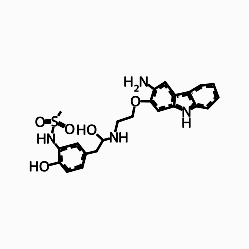 CS(=O)(=O)Nc1cc(CC(O)NCCOc2cc3[nH]c4ccccc4c3cc2N)ccc1O